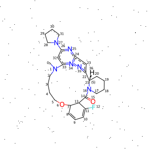 CN1CCCCOC2C=CC=C(F)C2C(=O)N2CCCC[C@H]2c2cc3nc(N4CCCC4)cc1n3n2